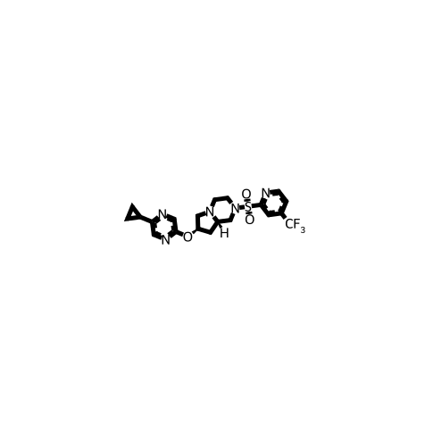 O=S(=O)(c1cc(C(F)(F)F)ccn1)N1CCN2C[C@H](Oc3cnc(C4CC4)cn3)C[C@H]2C1